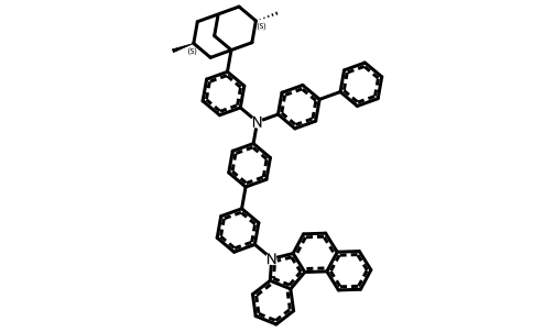 C[C@H]1CC2C[C@H](C)CC(c3cccc(N(c4ccc(-c5ccccc5)cc4)c4ccc(-c5cccc(-n6c7ccccc7c7c8ccccc8ccc76)c5)cc4)c3)(C2)C1